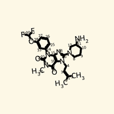 CC(C)=CCn1c(N2CCCC(N)C2)nc2c1c(=O)n(C)c(=O)n2-c1cccc(OC(F)F)c1